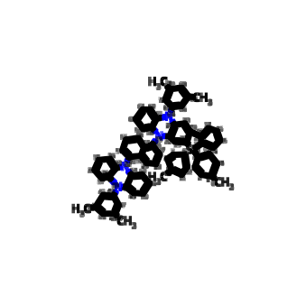 Cc1ccc([Si]2(c3ccc(C)cc3)c3ccccc3-c3cc4c(cc32)N(c2cccc3c(N5c6ccccc6N(c6cc(C)cc(C)c6)c6ccccc65)cccc23)c2ccccc2N4c2cc(C)cc(C)c2)cc1